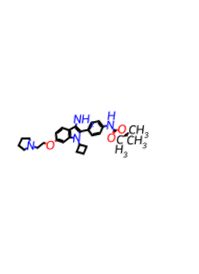 CC(C)(C)OC(=O)Nc1ccc(-c2c(N)c3ccc(OCCN4CCCC4)cc3n2C2CCC2)cc1